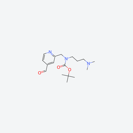 CN(C)CCCN(Cc1cc(C=O)ccn1)C(=O)OC(C)(C)C